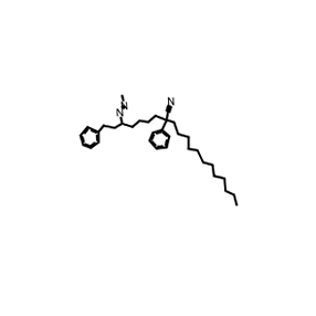 CCCCCCCCCCCCC(C#N)(CCCCC(CCc1ccccc1)N=NC)c1ccccc1